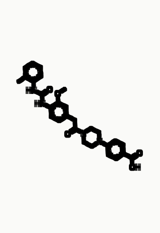 COc1cc(CC(=O)N2CCN(c3ccc(C(=O)O)cc3)CC2)ccc1NC(=O)Nc1ccccc1C